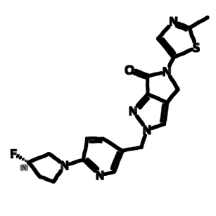 Cc1ncc(N2Cc3cn(Cc4ccc(N5CC[C@H](F)C5)nc4)nc3C2=O)s1